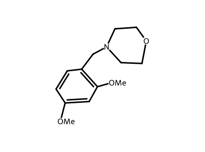 COc1ccc(CN2CCOCC2)c(OC)c1